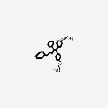 OCCOc1ccc(C(c2ccc(OCCO)cc2)C(CCCc2ccccc2)c2ccccc2)cc1